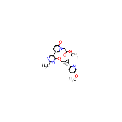 COC(=O)Cn1cc(-c2cnc(C)nc2OC[C@H]2C[C@@H]2c2ccc(OC)cn2)ccc1=O